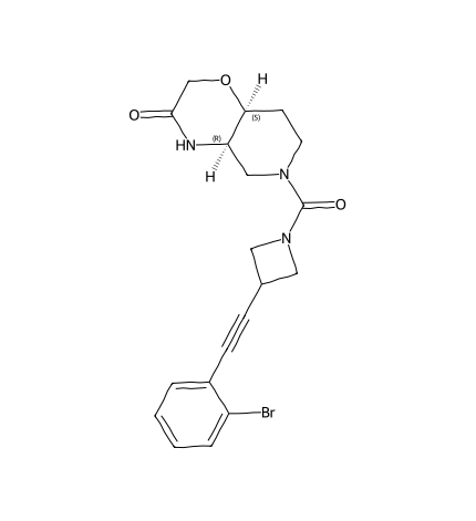 O=C1CO[C@H]2CCN(C(=O)N3CC(C#Cc4ccccc4Br)C3)C[C@H]2N1